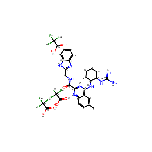 Cc1ccc2nc(C(=O)NCc3nc4ccccc4[nH]3)nc(NC3CCCCC3NC(=N)N)c2c1.O=C(O)C(F)(F)F.O=C(O)C(F)(F)F.O=C(O)C(F)(F)F